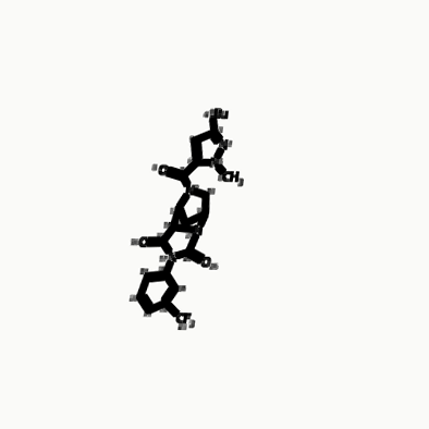 Cn1nc(C(C)(C)C)cc1C(=O)N1CC2CC1C1C(=O)N(c3cccc(C(F)(F)F)c3)C(=O)N21